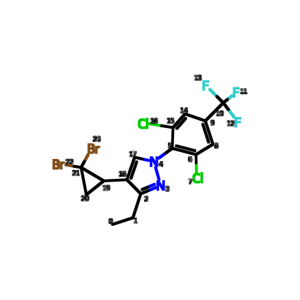 CCc1nn(-c2c(Cl)cc(C(F)(F)F)cc2Cl)cc1C1CC1(Br)Br